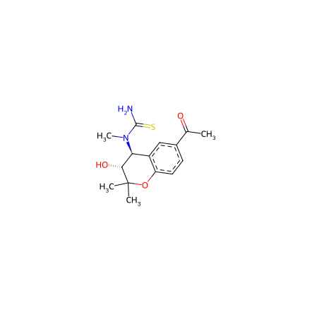 CC(=O)c1ccc2c(c1)[C@H](N(C)C(N)=S)[C@@H](O)C(C)(C)O2